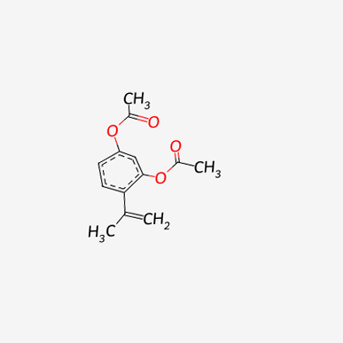 C=C(C)c1ccc(OC(C)=O)cc1OC(C)=O